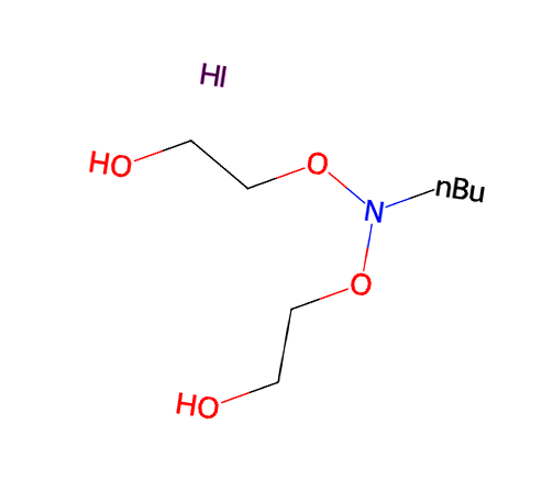 CCCCN(OCCO)OCCO.I